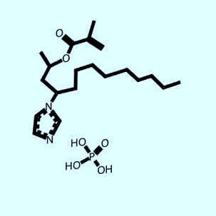 C=C(C)C(=O)OC(C)CC(CCCCCCCCC)n1ccnc1.O=P(O)(O)O